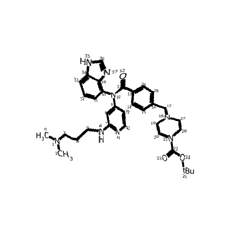 CN(C)CCCNc1cc(N(C(=O)c2ccc(CN3CCN(C(=O)OC(C)(C)C)CC3)cc2)c2cccc3[nH]cnc23)ccn1